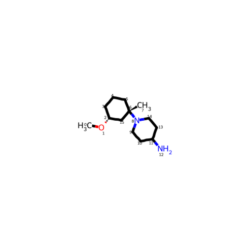 CO[C@@H]1CCC[C@](C)(N2CCC(N)CC2)C1